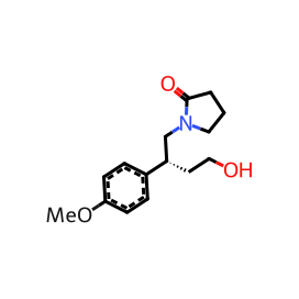 COc1ccc([C@@H](CCO)CN2CCCC2=O)cc1